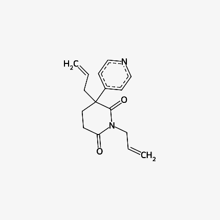 C=CCN1C(=O)CCC(CC=C)(c2ccncc2)C1=O